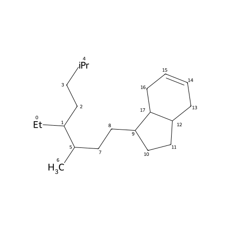 CCC(CCC(C)C)C(C)CCC1CCC2CC=CCC21